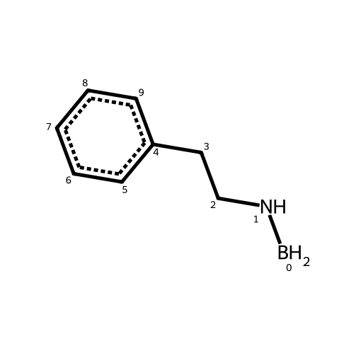 BNCCc1ccccc1